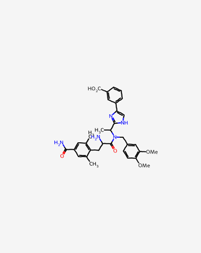 COc1ccc(CN(C(=O)C(N)Cc2c(C)cc(C(N)=O)cc2C)C(C)c2nc(-c3cccc(C(=O)O)c3)c[nH]2)cc1OC